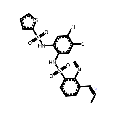 C=Nc1c(/C=C\C)cccc1S(=O)(=O)Nc1cc(Cl)c(Cl)cc1NS(=O)(=O)c1cccs1